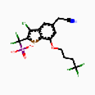 N#CCc1cc(OCCCC(F)(F)F)c2sc(C(F)(F)P(=O)(O)O)c(Br)c2c1